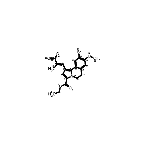 CCOC(=O)c1cc(/C=C(\C)[N+](=O)[O-])c2n1CCc1cc(OC)c(Br)cc1-2